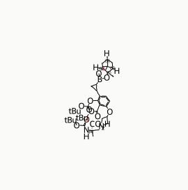 CC(C)(C)OC(=O)N[C@](C)(CN1CC(Oc2ccc(C3CC3B3O[C@@H]4C[C@@H]5C[C@@H](C5(C)C)[C@]4(C)O3)c(OC(=O)OC(C)(C)C)c2C(=O)OC(C)(C)C)C1)C(=O)O